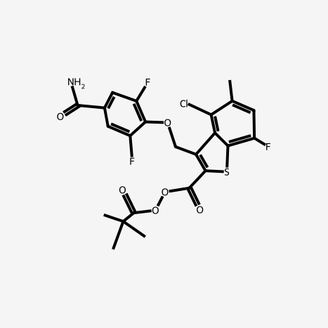 Cc1cc(F)c2sc(C(=O)OOC(=O)C(C)(C)C)c(COc3c(F)cc(C(N)=O)cc3F)c2c1Cl